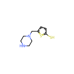 Sc1ccc(CN2CCNCC2)s1